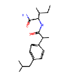 CCC(C)C(NC(=O)C(C)c1ccc(CC(C)C)cc1)C(N)=O